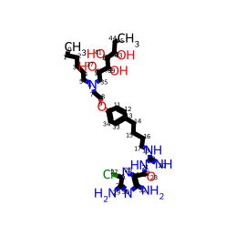 CCCCCCN(CCOc1ccc(CCCCNC(=N)NC(=O)c2nc(Cl)c(N)nc2N)cc1)C[C@@H](O)[C@H](O)[C@@H](O)[C@@H](O)CC